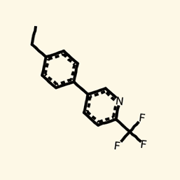 CCc1ccc(-c2ccc(C(F)(F)F)nc2)cc1